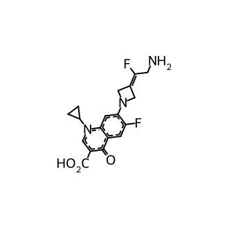 NCC(F)=C1CN(c2cc3c(cc2F)c(=O)c(C(=O)O)cn3C2CC2)C1